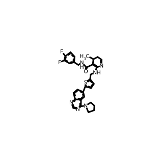 CC1CC=NC(NCc2ccc(-c3ccc4ncnc(N5CCCC5)c4c3)s2)=C1C(=O)NCc1ccc(F)c(F)c1